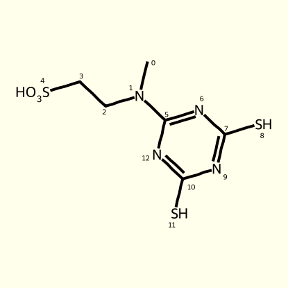 CN(CCS(=O)(=O)O)c1nc(S)nc(S)n1